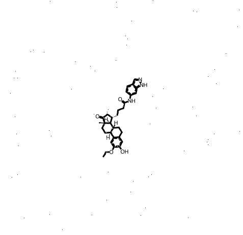 CCOc1cc2c(cc1O)CC[C@H]1[C@@H]3[C@@H](CCCC(=O)Nc4ccc5cn[nH]c5c4)CC(=O)[C@@]3(C)CC[C@H]21